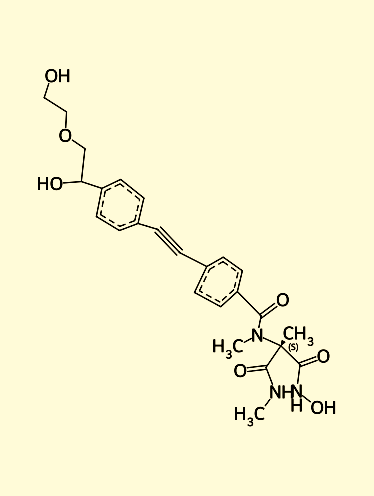 CNC(=O)[C@@](C)(C(=O)NO)N(C)C(=O)c1ccc(C#Cc2ccc(C(O)COCCO)cc2)cc1